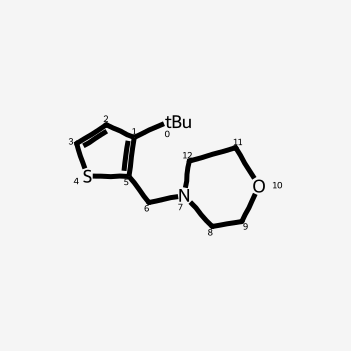 CC(C)(C)c1ccsc1CN1CCOCC1